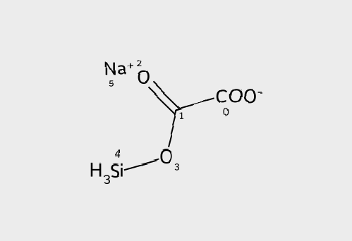 O=C([O-])C(=O)O[SiH3].[Na+]